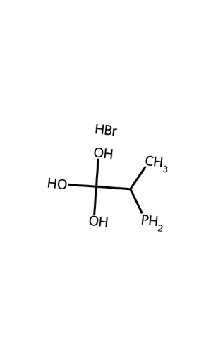 Br.CC(P)C(O)(O)O